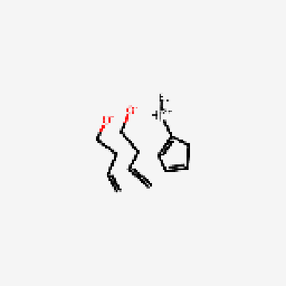 C=CCC[O-].C=CCC[O-].C[CH2][Hf+2][C]1=CC=CC1